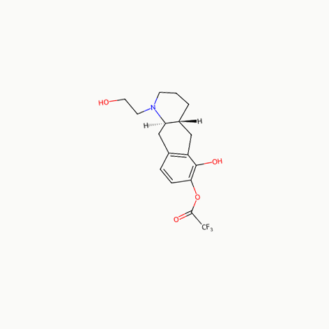 O=C(Oc1ccc2c(c1O)C[C@H]1CCCN(CCO)[C@@H]1C2)C(F)(F)F